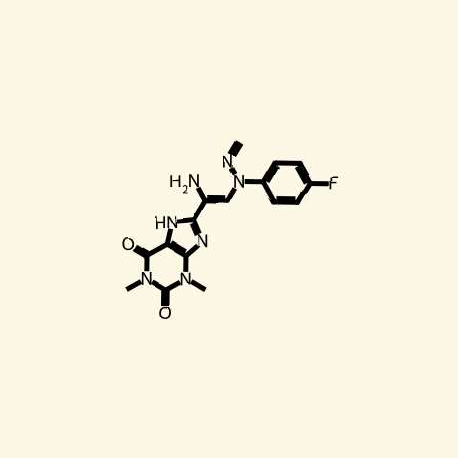 C=NN(/C=C(\N)c1nc2c([nH]1)c(=O)n(C)c(=O)n2C)c1ccc(F)cc1